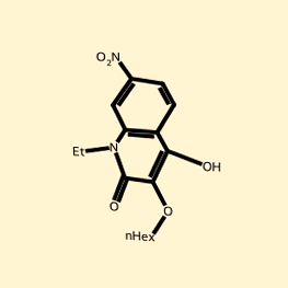 CCCCCCOc1c(O)c2ccc([N+](=O)[O-])cc2n(CC)c1=O